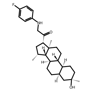 C[C@@H]1C[C@H](C(=O)CNc2ccc(F)cc2)[C@@]2(C)CC[C@H]3[C@@H](CC[C@@H]4C[C@](C)(O)CC[C@@H]43)[C@H]12